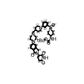 CC(C)(C)OC(=O)NC1CCN([S+]([O-])c2cccc(N3CCC(CN4CCN(c5ccc6c(c5)CN(C5CCC(=O)NC5=O)C6=O)CC4)CC3)c2)CC1